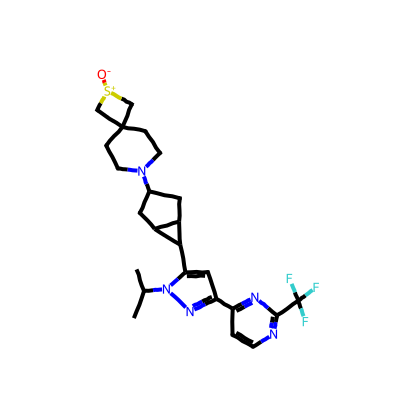 CC(C)n1nc(-c2ccnc(C(F)(F)F)n2)cc1C1C2CC(N3CCC4(CC3)C[S+]([O-])C4)CC21